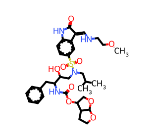 COCCN/C=C1/C(=O)Nc2ccc(S(=O)(=O)N(CC(C)C)CC(O)C(Cc3ccccc3)NC(=O)OC3COC4OCCC34)cc21